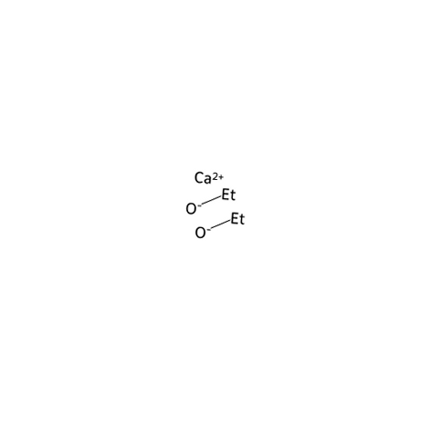 CC[O-].CC[O-].[Ca+2]